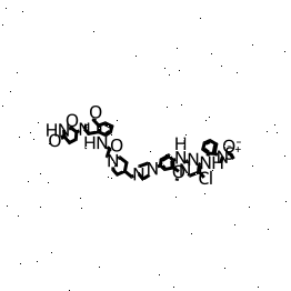 COc1cc(N2CCN(CC3CCN(CC(=O)Nc4cccc(C=O)c4CN(C)C4CCC(=O)NC4=O)CC3)CC2)ccc1Nc1ncc(Cl)c(Nc2ccccc2N(C)[S+](C)[O-])n1